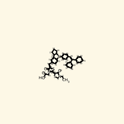 CCN1CS/C(=c2/s/c(=C\c3ccc4c(c3)C3CCCC3N4c3ccc(C=C(c4ccccc4)c4ccccc4)cc3)c(=O)n2CC(=O)O)C1=O